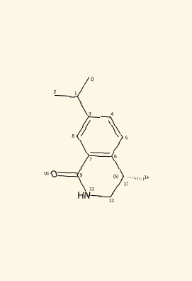 CC(C)c1ccc2c(c1)C(=O)NC[C@H]2C